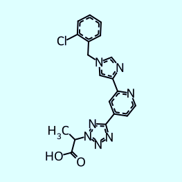 CC(C(=O)O)n1nnc(-c2ccnc(-c3cn(Cc4ccccc4Cl)cn3)c2)n1